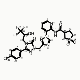 O=C(Nc1ncccc1-n1cnc(Cn2nc(-c3ccc(Cl)cc3)n(CC(O)C(F)(F)F)c2=O)n1)C1CCS(=O)(=O)C1